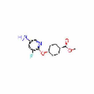 COC(=O)[C@H]1CC[C@@H](Oc2ncc(N)cc2F)CC1